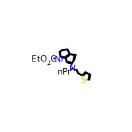 CCCN(CCc1cccs1)c1ccc2c(c1)C(NC(=O)OCC)CCC2